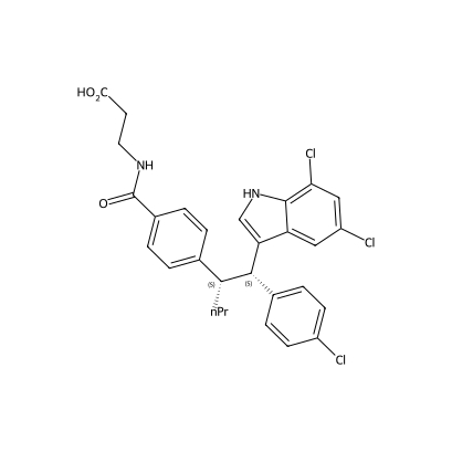 CCC[C@H](c1ccc(C(=O)NCCC(=O)O)cc1)[C@@H](c1ccc(Cl)cc1)c1c[nH]c2c(Cl)cc(Cl)cc12